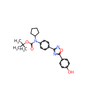 CC(C)(C)OC(=O)N(c1ccc(-c2noc(-c3ccc(O)cc3)n2)cc1)C1CCCC1